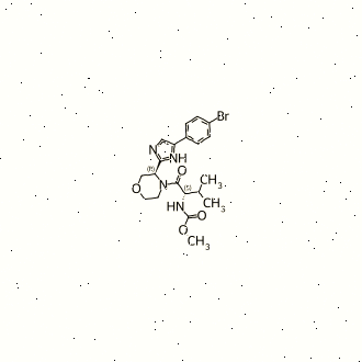 COC(=O)N[C@H](C(=O)N1CCOC[C@H]1c1ncc(-c2ccc(Br)cc2)[nH]1)C(C)C